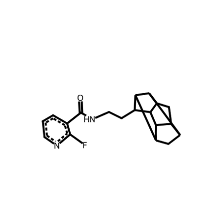 O=C(NCCC1C2C3CC4C5CC(C42)C1C53)c1cccnc1F